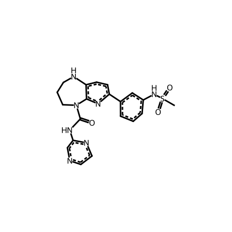 CS(=O)(=O)Nc1cccc(-c2ccc3c(n2)N(C(=O)Nc2cnccn2)CCCN3)c1